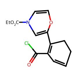 CCOC(=O)N1C=COC(C2=C(C(=O)Cl)C=CCC2)=C1